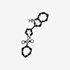 O=S(=O)(c1ccccc1)n1ccc(-c2cc3ccccc3[nH]2)c1